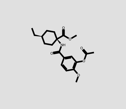 CC[C@H]1CC[C@](NC(=O)c2ccc(OC)c(OC(C)=O)c2)(C(=O)OC)CC1